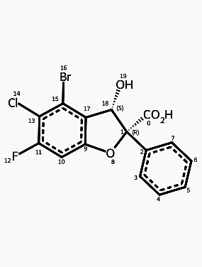 O=C(O)[C@]1(c2ccccc2)Oc2cc(F)c(Cl)c(Br)c2[C@@H]1O